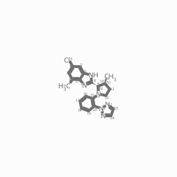 Cc1cc(Cl)cc2[nH]c([C@@H]3[C@@H](C)CCN3c3ccc[c]c3-n3nccn3)nc12